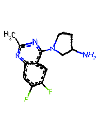 Cc1nc(N2CCC(N)C2)c2cc(F)c(F)cc2n1